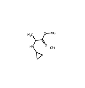 C[C@H](NC1CC1)C(=O)OC(C)(C)C.Cl